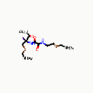 COC(=O)C(I)(CSCNC(C)=O)NC(=O)C(=O)NCCSCNC(C)=O